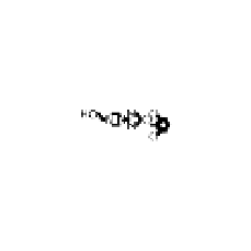 OCCN1CCN(c2ncc(OCc3c(Cl)cccc3Cl)cn2)CC1